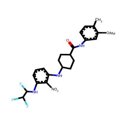 COc1cc(NC(=O)C2CCC(Nc3cccc(NC(F)C(F)F)c3[N+](=O)[O-])CC2)ccc1C